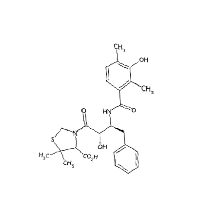 Cc1ccc(C(=O)N[C@@H](Cc2ccccc2)[C@H](O)C(=O)N2CSC(C)(C)C2C(=O)O)c(C)c1O